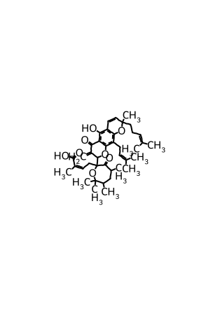 C=C1C(=O)c2c(O)c3c(c(CC=C(C)C)c2OC1C1(C/C=C(/C)C(=O)O)OC(C)(C)C(C)CC(C)C1=O)OC(C)(CCC=C(C)C)C=C3